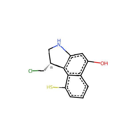 Oc1cc2c(c3c(S)cccc13)[C@H](CCl)CN2